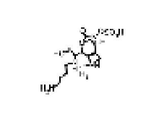 Cn1ncc2c1[C@@H](/C(=N/O)NCCCCN)N1C[C@H]2N(OS(=O)(=O)O)C1=O